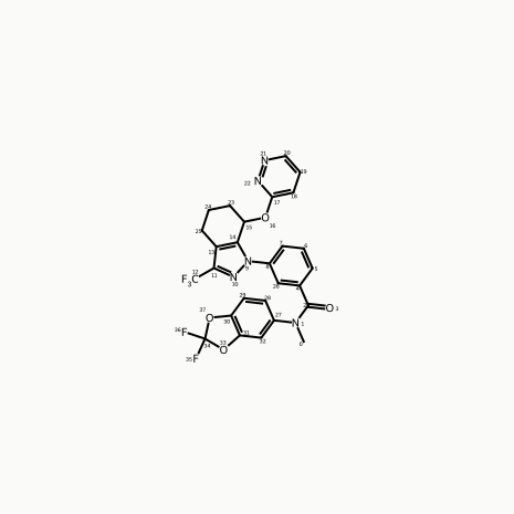 CN(C(=O)c1cccc(-n2nc(C(F)(F)F)c3c2C(Oc2cccnn2)CCC3)c1)c1ccc2c(c1)OC(F)(F)O2